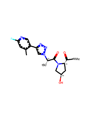 CNC(=O)[C@@H]1C[C@@H](O)CN1C(=O)[C@@H](n1cc(-c2cnc(F)cc2C)nn1)C(C)(C)C